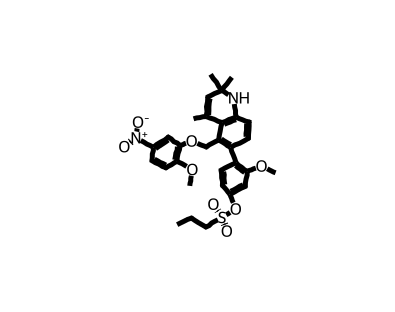 CCCS(=O)(=O)Oc1ccc(-c2ccc3c(c2COc2cc([N+](=O)[O-])ccc2OC)C(C)=CC(C)(C)N3)c(OC)c1